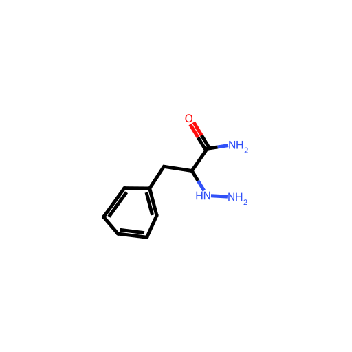 NNC(Cc1ccccc1)C(N)=O